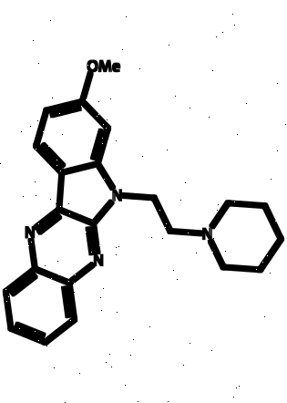 COc1ccc2c3nc4ccccc4nc3n(CCN3CCCCC3)c2c1